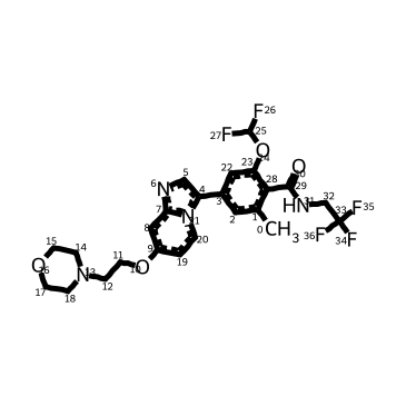 Cc1cc(-c2cnc3cc(OCCN4CCOCC4)ccn23)cc(OC(F)F)c1C(=O)NCC(F)(F)F